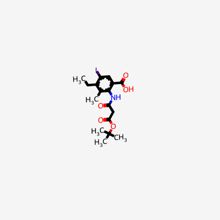 CCc1c(I)cc(C(=O)O)c(NC(=O)CC(=O)OC(C)(C)C)c1C